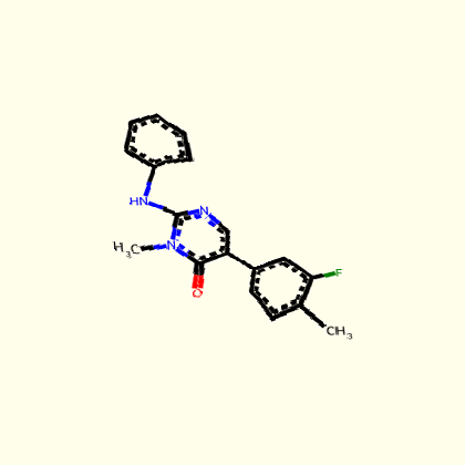 Cc1ccc(-c2cnc(Nc3ccccc3)n(C)c2=O)cc1F